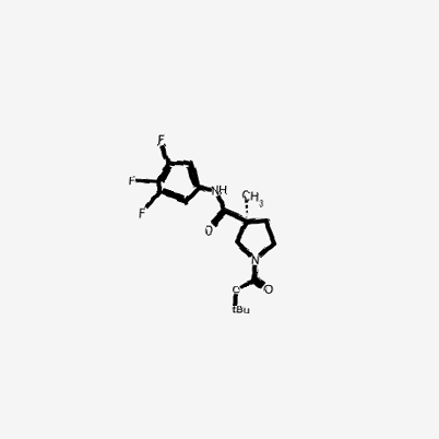 CC(C)(C)OC(=O)N1CC[C@](C)(C(=O)Nc2cc(F)c(F)c(F)c2)C1